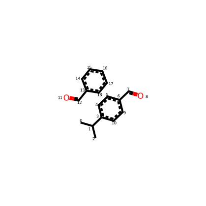 CC(C)c1ccc(C=O)cc1.O=Cc1ccccc1